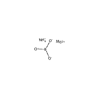 [Mo+2].[NH4+].[O-]B([O-])[O-]